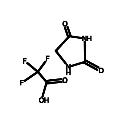 O=C(O)C(F)(F)F.O=C1CNC(=O)N1